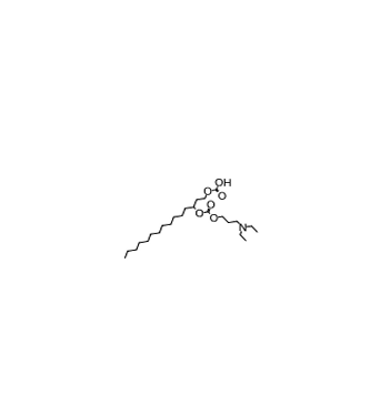 CCCCCCCCCCCCC(CCOC(=O)O)OC(=O)OCCCN(CC)CC